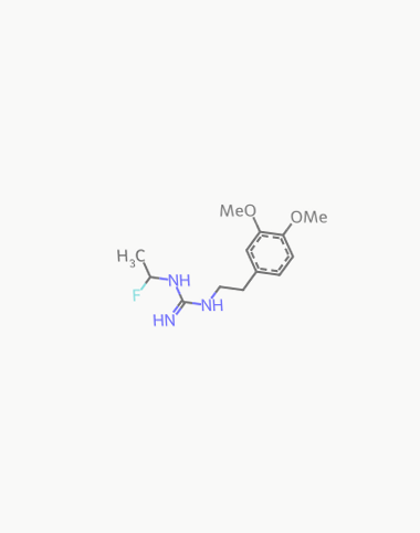 COc1ccc(CCNC(=N)NC(C)F)cc1OC